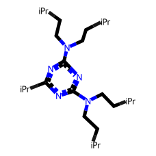 CC(C)CCN(CCC(C)C)c1nc(C(C)C)nc(N(CCC(C)C)CCC(C)C)n1